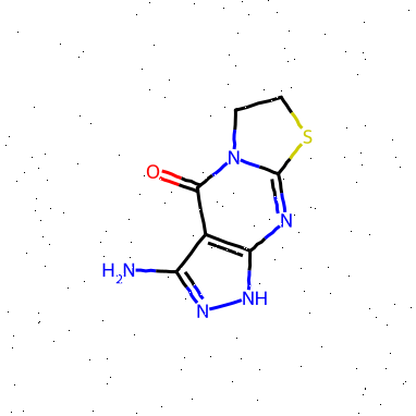 Nc1n[nH]c2nc3n(c(=O)c12)CCS3